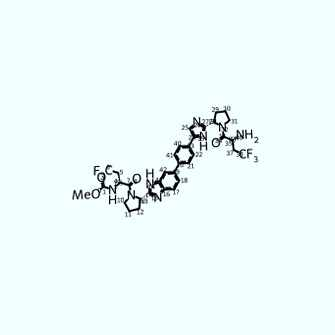 COC(=O)N[C@@H](CC(F)(F)F)C(=O)N1CCC[C@H]1c1nc2ccc(-c3ccc(-c4cnc([C@@H]5CCCN5C(=O)[C@@H](N)CC(F)(F)F)[nH]4)cc3)cc2[nH]1